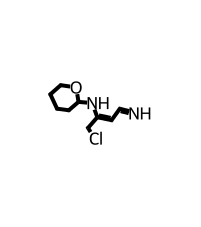 N=C/C=C(/CCl)NC1CCCCO1